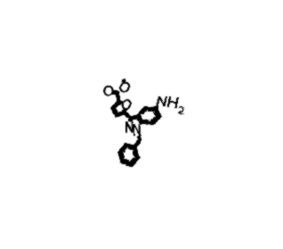 COC(=O)c1ccc(-c2nn(Cc3ccccc3)c3ccc(N)cc23)o1